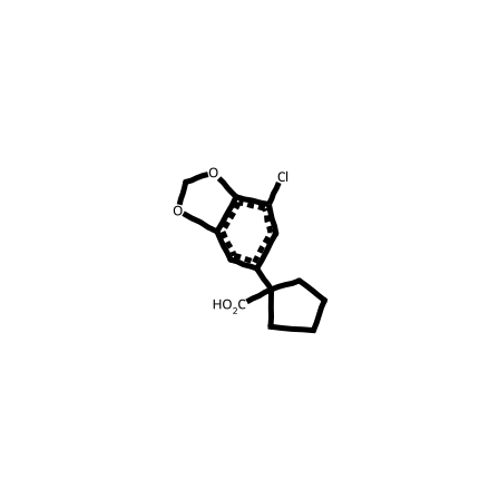 O=C(O)C1(c2cc(Cl)c3c(c2)OCO3)CCCC1